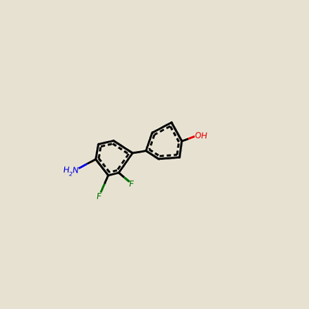 Nc1ccc(-c2ccc(O)cc2)c(F)c1F